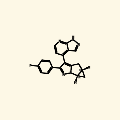 Fc1ccc(-c2nn3c(c2-c2ccnc4[nH]ncc24)C[C@@H]2C[C@@H]23)cc1